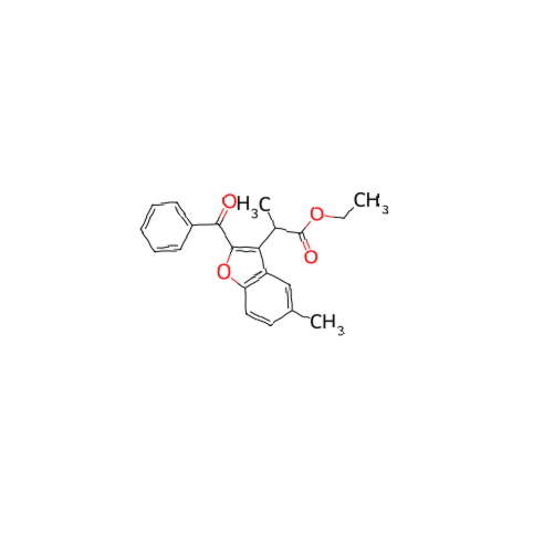 CCOC(=O)C(C)c1c(C(=O)c2ccccc2)oc2ccc(C)cc12